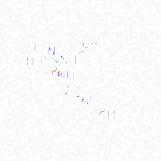 C=N/C(C)=C(\N/C=C(F)\C=C/C)C(=O)NCc1ccc(N2CCC(C)CC2)cc1